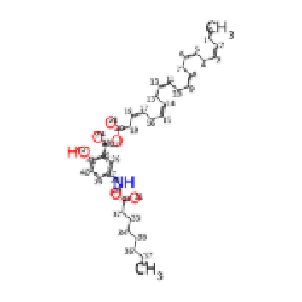 CC/C=C\C/C=C\C/C=C\C/C=C\C/C=C\C/C=C\CC(=O)OC(=O)c1cc(NOC(=O)CCCCCCC)ccc1O